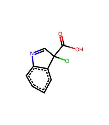 O=C(O)C1(Cl)C=Nc2ccccc21